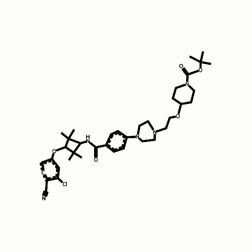 CC(C)(C)OC(=O)N1CCC(OCCN2CCN(c3ccc(C(=O)NC4C(C)(C)C(Oc5ccc(C#N)c(Cl)c5)C4(C)C)cc3)CC2)CC1